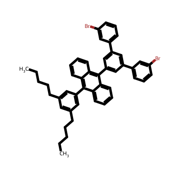 CCCCCc1cc(CCCCC)cc(-c2c3ccccc3c(-c3cc(-c4cccc(Br)c4)cc(-c4cccc(Br)c4)c3)c3ccccc23)c1